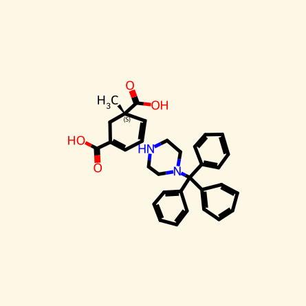 C[C@@]1(C(=O)O)C=CC=C(C(=O)O)C1.c1ccc(C(c2ccccc2)(c2ccccc2)N2CCNCC2)cc1